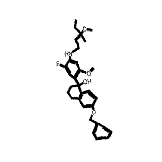 CCC(C)(CCNc1cc(OC)c(C2(O)CCCc3cc(OCc4ccccc4)ccc32)cc1F)OC